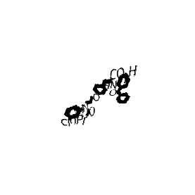 CCCC(=O)N(CCCOc1ccc(C[C@H](Nc2ccccc2C(=O)c2ccccc2)C(=O)O)cc1)c1cccc(Cl)c1